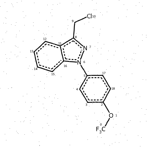 FC(F)(F)Oc1ccc(-n2nc(CCl)c3ccccc32)cc1